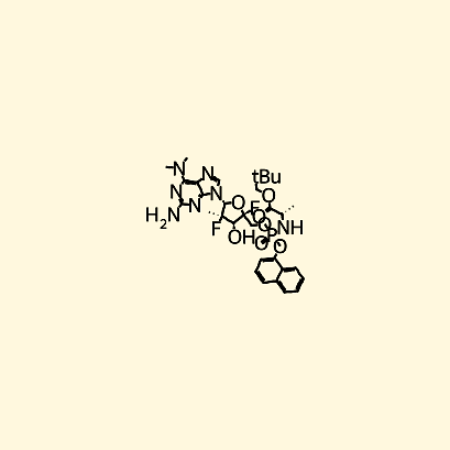 C[C@H](NP(=O)(OC[C@@]1(F)O[C@@H](n2cnc3c(N(C)C)nc(N)nc32)[C@](C)(F)[C@@H]1O)Oc1cccc2ccccc12)C(=O)OCC(C)(C)C